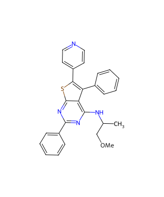 COCC(C)Nc1nc(-c2ccccc2)nc2sc(-c3ccncc3)c(-c3ccccc3)c12